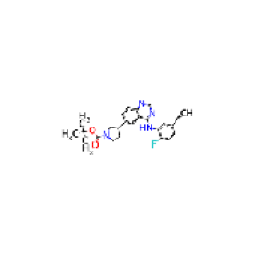 C#Cc1ccc(F)c(Nc2ncnc3ccc(C4CCN(C(=O)OC(C)(C)C)C4)cc23)c1